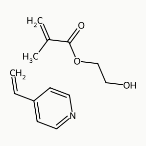 C=C(C)C(=O)OCCO.C=Cc1ccncc1